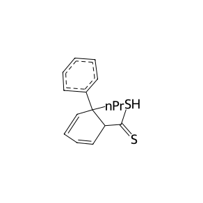 CCCC1(c2ccccc2)C=CC=CC1C(=S)S